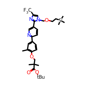 Cc1cc(-c2ccc(-c3nc(C(F)(F)F)cn3COCC[Si](C)(C)C)cn2)ccc1OCC(C)(C)C(=O)OC(C)(C)C